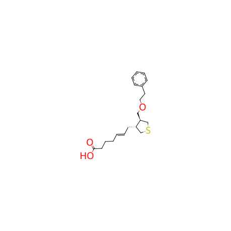 O=C(O)CCCC=CC[C@H]1CSC[C@@H]1COCCc1ccccc1